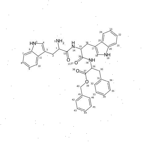 NC(Cc1c[nH]c2ccccc12)C(=O)NC(Cc1c[nH]c2ccccc12)C(=O)NC(Cc1ccccc1)C(=O)OCc1ccccc1